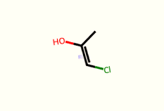 C/C(O)=C\Cl